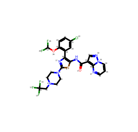 O=C(Nc1sc(N2CCN(CC(F)(F)F)CC2)nc1-c1cc(Cl)ccc1OC(F)F)c1cnn2cccnc12